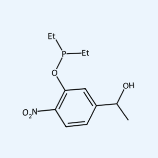 CCP(CC)Oc1cc(C(C)O)ccc1[N+](=O)[O-]